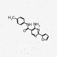 Cc1ccc(NC(=O)c2cnc(-c3ccco3)nc2N)cc1